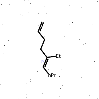 C=CCC/C(=C/CCC)CC